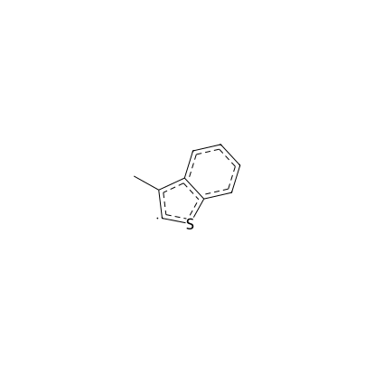 Cc1[c]sc2ccccc12